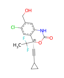 CC(F)(F)[C@]1(C#CC2CC2)OC(=O)Nc2cc(CO)c(Cl)cc21